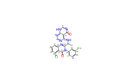 CC(Nc1ncnc2[nH]cnc(=O)c12)c1nc2cccc(Cl)c2c(=O)n1-c1cccc(F)c1